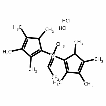 CC1=C(C)C(C)[C]([Zr]([CH3])(=[CH]C(F)(F)F)[C]2=C(C)C(C)=C(C)C2C)=C1C.Cl.Cl